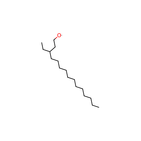 CCCCCCCCCCCCC(CC)CC[O]